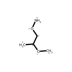 COC(C)CON